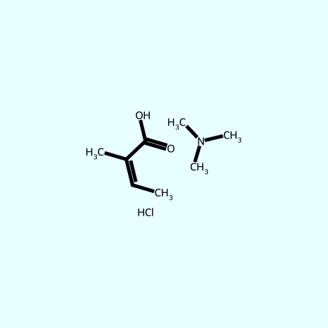 CC=C(C)C(=O)O.CN(C)C.Cl